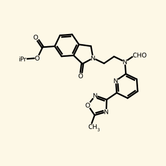 Cc1nc(-c2cccc(N(C=O)CCN3Cc4ccc(C(=O)OC(C)C)cc4C3=O)n2)no1